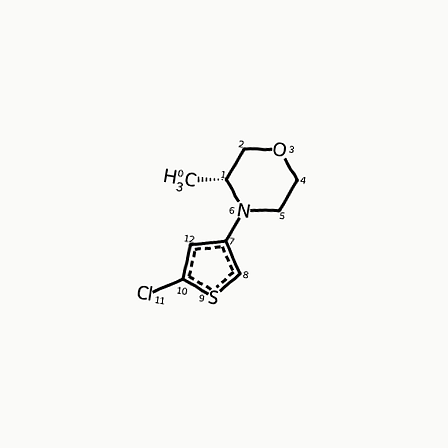 C[C@@H]1COCCN1c1csc(Cl)c1